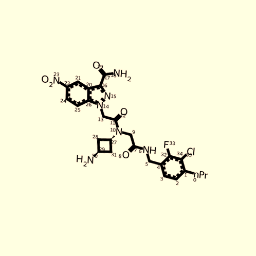 CCCc1ccc(CNC(=O)CN(C(=O)Cn2nc(C(N)=O)c3cc([N+](=O)[O-])ccc32)[C@H]2C[C@H](N)C2)c(F)c1Cl